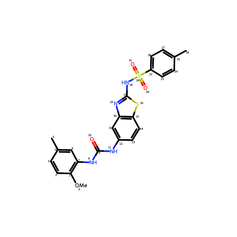 COc1ccc(C)cc1NC(=O)Nc1ccc2sc(NS(=O)(=O)c3ccc(C)cc3)nc2c1